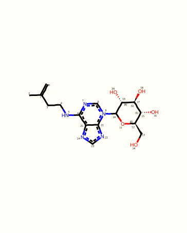 C=C(C)CCNc1ncn(C2O[C@H](CO)[C@@H](O)[C@H](O)[C@H]2O)c2ncnc1-2